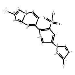 CCS(=O)(=O)c1cc(-n2cnc(Cl)n2)cnc1-c1ccn2nc(C(F)(F)F)nc2n1